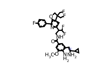 COc1cc(C(=O)NCC(c2cc3c(c(-c4ccc(F)cc4)n2)OCC3(CF)CF)C(F)F)cc(/C=C(\N)C2CC2)c1N